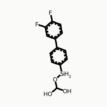 OC(O)O[SiH2]c1ccc(-c2ccc(F)c(F)c2)cc1